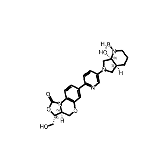 BN1CCC[C@H]2CN(c3ccc(-c4ccc5c(c4)OC[C@H]4[C@H](CO)OC(=O)N54)nc3)C[C@]21O